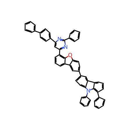 c1ccc(-c2ccc(-c3cc(-c4cccc5c4oc4ccc(-c6ccc7c(c6)c6cccc(-c8ccccc8)c6n7-c6ccccc6)cc45)nc(-c4ccccc4)n3)cc2)cc1